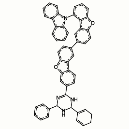 C1=CC(C2NC(c3ccc4c(c3)oc3ccc(-c5ccc6oc7cccc(-n8c9ccccc9c9ccccc98)c7c6c5)cc34)=NC(c3ccccc3)N2)=CCC1